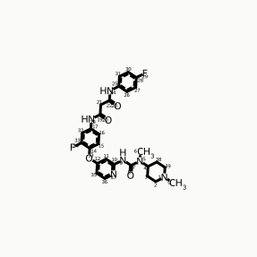 CN1CCC(N(C)C(=O)Nc2cc(Oc3ccc(NC(=O)CC(=O)Nc4ccc(F)cc4)cc3F)ccn2)CC1